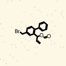 C=CC(OC=O)c1cc(CBr)ccc1-c1ccccc1